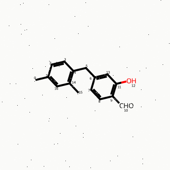 Cc1ccc(Cc2ccc(C=O)c(O)c2)c(C)c1